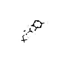 O=S(=O)(CC(F)(F)F)c1nc2cc(Cl)ccc2[nH]1